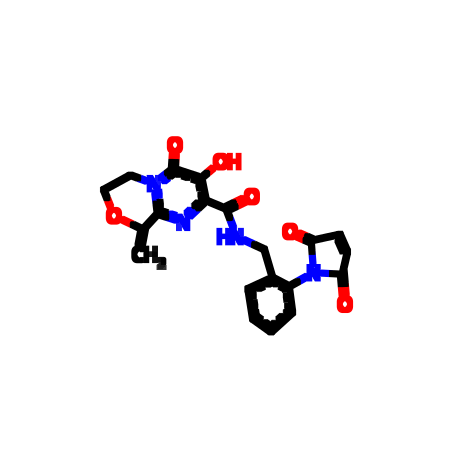 C=C1OCCn2c1nc(C(=O)NCc1ccccc1N1C(=O)C=CC1=O)c(O)c2=O